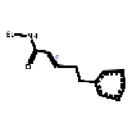 CCNC(=O)/C=C/CCc1ccccc1